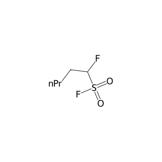 CCCCC(F)S(=O)(=O)F